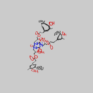 Cc1cc(CCC(=O)OCC(O)Cn2c(=O)n(CC(O)COC(=O)CCc3cc(C)c(O)c(C(C)(C)C)c3)c(=O)n(CC(O)COC(=O)CCc3cc(C)c(O)c(C(C)(C)C)c3)c2=O)cc(C(C)(C)C)c1O